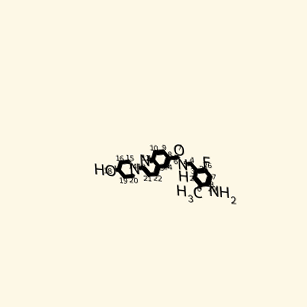 Cc1cc(CNC(=O)c2ccc3nc(N4CCC(O)CC4)ccc3c2)c(F)cc1N